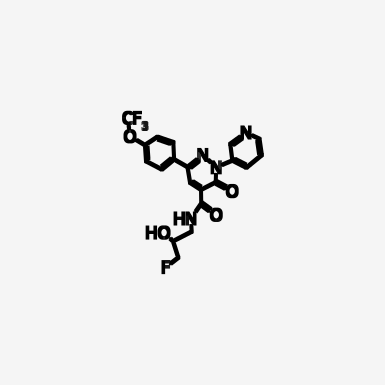 O=C(NCC(O)CF)c1cc(-c2ccc(OC(F)(F)F)cc2)nn(-c2cccnc2)c1=O